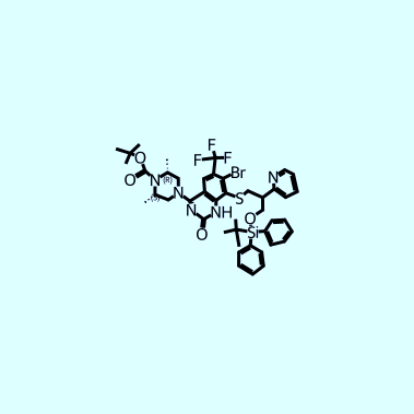 C[C@@H]1CN(c2nc(=O)[nH]c3c(SCC(CO[Si](c4ccccc4)(c4ccccc4)C(C)(C)C)c4ccccn4)c(Br)c(C(F)(F)F)cc23)C[C@H](C)N1C(=O)OC(C)(C)C